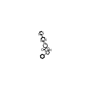 O=C1N2[C@@H](CC[C@H]2c2ccccc2)OC12CCN(c1ncc(-c3nccs3)cn1)CC2